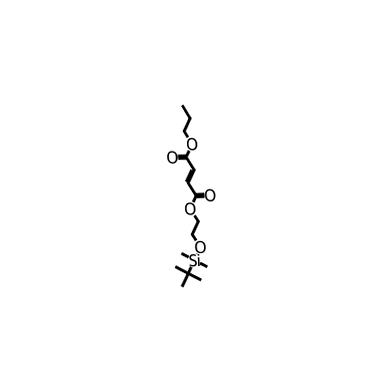 CCCOC(=O)/C=C/C(=O)OCCO[Si](C)(C)C(C)(C)C